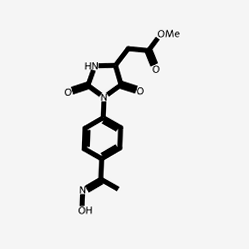 COC(=O)CC1NC(=O)N(c2ccc(/C(C)=N/O)cc2)C1=O